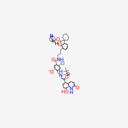 COc1cc(C(=O)NCCCc2cccc(C3(C(=O)O[C@H]4CN5CCC4CC5)CCCCC3)c2)c(Cl)cc1CNC[C@@H](O[Si](C)(C)C(C)(C)C)c1ccc(O)c2[nH]c(=O)ccc12